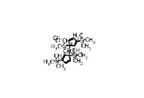 C[Si](C)(C)C1=C[C]([Zr+2][C]2([Si](C)(C)C)C=CC([Si](C)(C)C)=C2)([Si](C)(C)C)C=C1.[Cl-].[Cl-]